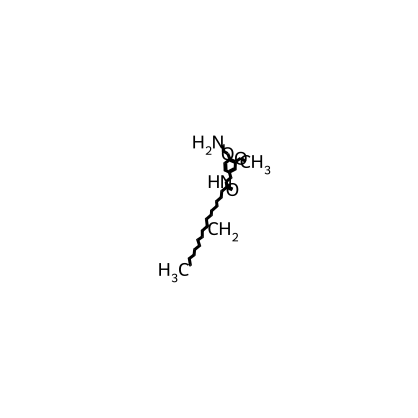 C=C(CCCCCCCCC)CCCCCCCC(=O)NCc1ccc(OCCN)c(OC)c1